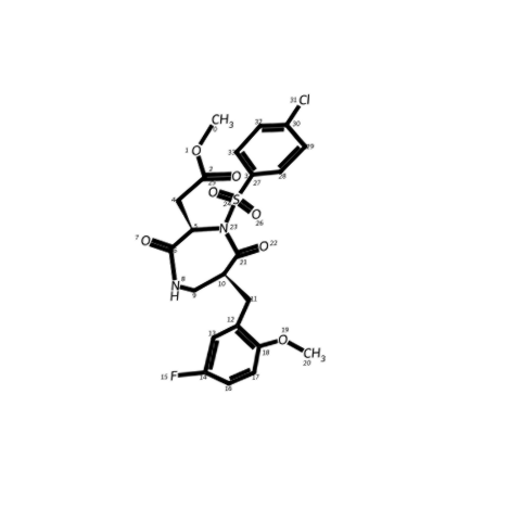 COC(=O)C[C@@H]1C(=O)NC[C@H](Cc2cc(F)ccc2OC)C(=O)N1S(=O)(=O)c1ccc(Cl)cc1